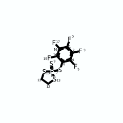 Fc1c(F)c(F)c(SP2(=S)SCCS2)c(F)c1F